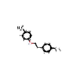 Cc1ccc(CCOc2ccc(C)cc2)cc1